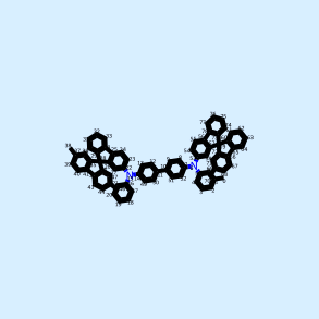 Cc1cccc(N(c2ccc(-c3ccc(N(c4ccccc4)c4ccc5c(c4)C4(c6ccccc6-5)c5cc(C)ccc5-c5ccc(C)cc54)cc3)cc2)c2ccc3c(c2)C2(c4ccccc4-c4ccc(C)cc42)c2ccccc2-3)c1